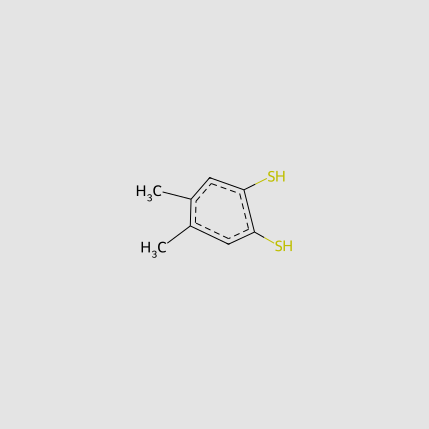 Cc1cc(S)c(S)cc1C